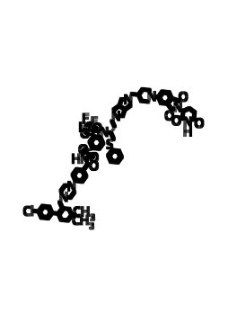 CC1(C)CCC(c2ccc(Cl)cc2)=C(CN2CCN(c3ccc(C(=O)NS(=O)(=O)c4ccc(N[C@H](CCN5CC6CN(CC7CCN(c8ccc9c(c8)C(=O)N(C8CCC(=O)NC8=O)C9=O)CC7)CC6C5)CSc5ccccc5)c(S(=O)(=O)C(F)(F)F)c4)cc3)CC2)C1